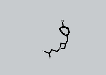 FC(F)CCN1CC(Cc2ccc(Br)cc2)C1